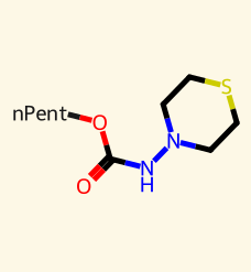 CCCCCOC(=O)NN1CCSCC1